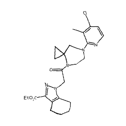 CCOC(=O)c1nn(CC(=O)N2CCN(c3nccc(Cl)c3C)CC23CC3)c2c1CCCC2